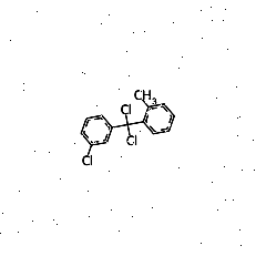 Cc1ccccc1C(Cl)(Cl)c1cccc(Cl)c1